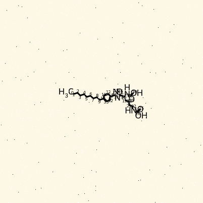 CCCCCCCCCCc1ccc(-c2noc([C@@H](CCCCNC(=O)O)NC(=O)O)n2)cc1